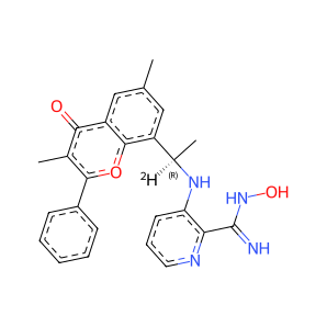 [2H][C@](C)(Nc1cccnc1C(=N)NO)c1cc(C)cc2c(=O)c(C)c(-c3ccccc3)oc12